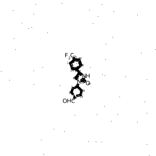 O=CN1CCC(n2cc(-c3ccc(C(F)(F)F)cc3)[nH]c2=O)CC1